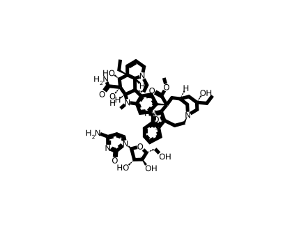 CC[C@]1(O)C[C@H]2C[N@](CCc3c([nH]c4ccccc34)[C@@](C(=O)OC)(c3cc4c(cc3OC)N(C)[C@H]3[C@@](O)(C(N)=O)[C@H](O)[C@]5(CC)C=CCN6CC[C@]43[C@@H]65)C2)C1.Nc1ccn([C@@H]2O[C@H](CO)[C@@H](O)[C@@H]2O)c(=O)n1